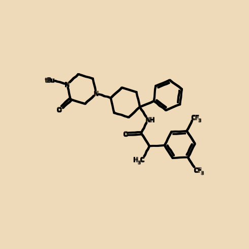 CC(C(=O)NC1(c2ccccc2)CCC(N2CCN(C(C)(C)C)C(=O)C2)CC1)c1cc(C(F)(F)F)cc(C(F)(F)F)c1